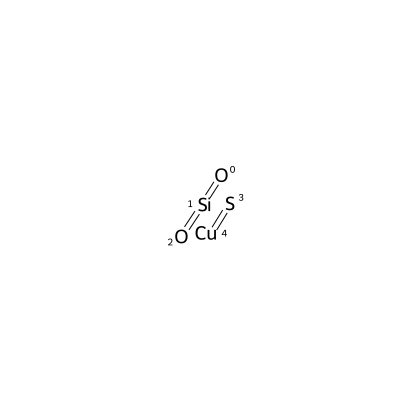 O=[Si]=O.[S]=[Cu]